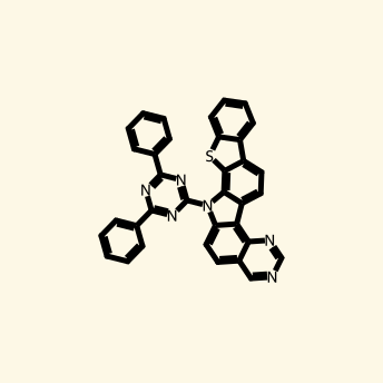 c1ccc(-c2nc(-c3ccccc3)nc(-n3c4ccc5cncnc5c4c4ccc5c6ccccc6sc5c43)n2)cc1